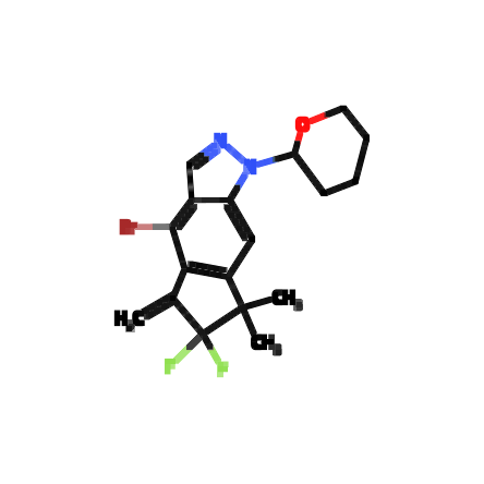 C=C1c2c(cc3c(cnn3C3CCCCO3)c2Br)C(C)(C)C1(F)F